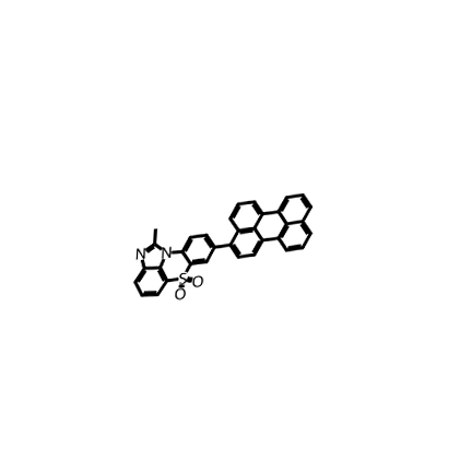 Cc1nc2cccc3c2n1-c1ccc(-c2ccc4c5cccc6cccc(c7cccc2c74)c65)cc1S3(=O)=O